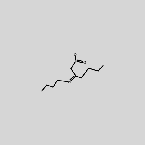 CCCCN=C(CCCC)C[N+](=O)[O-]